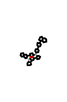 C1=CC2Sc3ccc(-c4ccccc4N(c4ccc(-c5ccc(-c6cccc7ccccc67)cc5)cc4)c4ccc(-c5ccc6ccccc6c5)cc4)cc3C2C=C1